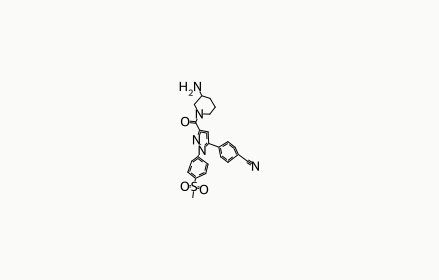 CS(=O)(=O)c1ccc(-n2nc(C(=O)N3CCCC(N)C3)cc2-c2ccc(C#N)cc2)cc1